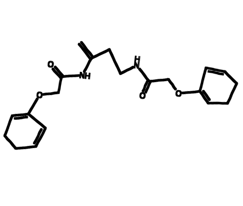 C=C(CCNC(=O)COC1=CCCC=C1)NC(=O)COC1=CCCC=C1